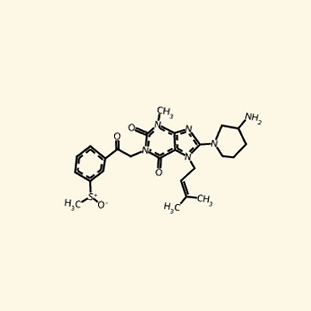 CC(C)=CCn1c(N2CCCC(N)C2)nc2c1c(=O)n(CC(=O)c1cccc([S+](C)[O-])c1)c(=O)n2C